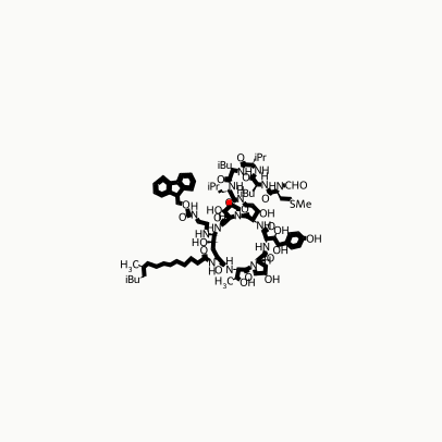 CCC(C)[C@H](NC(=O)[C@H](CCSC)NC=O)C(=O)N[C@H](C(=O)N[C@H](C(=O)N[C@@H](CC(C)C)C(=O)NCC[C@@H](O)[C@@H]1NC(=O)[C@H]([C@H](O)[C@@H](O)c2ccc(O)cc2)NC(=O)[C@@H]2C[C@@H](O)CN2C(=O)[C@H]([C@@H](C)O)NC(=O)[C@@H](NC(=O)CCCCCCCC[C@@H](C)C[C@@H](C)CC)C[C@@H](O)[C@@H](NCCNC(=O)OCC2c3ccccc3-c3ccccc32)NC(=O)[C@@H]2[C@@H](O)CCN2C1=O)C(C)CC)C(C)C